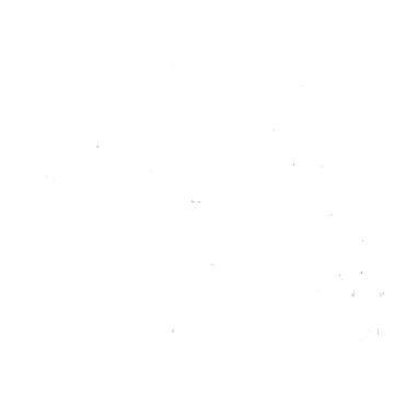 CC(C)(C)[Si](C)(C)OCc1ccccc1C1=C(c2ccccc2)C(c2ccccc2)=C(c2ccccc2CO[Si](C)(C)C(C)(C)C)C1